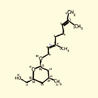 CC(C)=CCC/C(C)=C/CO[C@H]1C[C@@H](C)C[C@@H](CO)O1